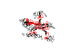 C=C(C)C(=O)OCCC[SiH](O)O[Si]1(CCCOC(=O)C(=C)C)O[Si]2(CCCOC(=O)C(=C)C)O[Si](C)(CCCOC(=O)C(=C)C)O[Si]3(CCCOC(=O)C(=C)C)O[Si](O)(CCCOC(=O)C(=C)C)O[Si](CCCOC(=O)C(=C)C)(O1)O[Si](CCCOC(=O)C(=C)C)(O3)O2